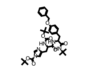 CC(C)(C)NC(=O)C(Cc1ccc(OCc2ccccc2)cc1)NC(=O)C(Cc1cn(C(=O)OC(C)(C)C)cn1)NC(=O)OC(C)(C)C